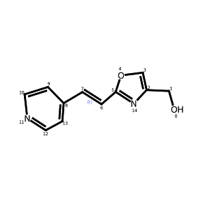 OCc1coc(/C=C/c2ccncc2)n1